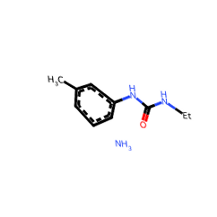 CCNC(=O)Nc1cccc(C)c1.N